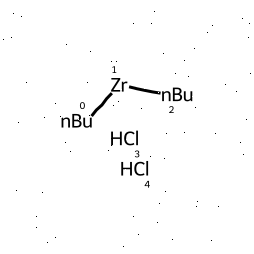 CCC[CH2][Zr][CH2]CCC.Cl.Cl